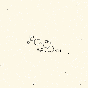 C/C(=C(/C)c1ccc(C(=O)O)cc1)c1ccc(O)cc1